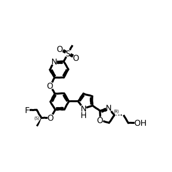 C[C@@H](CF)Oc1cc(Oc2ccc(S(C)(=O)=O)nc2)cc(-c2ccc(C3=N[C@H](CCO)CO3)[nH]2)c1